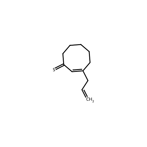 C=CC/C1=C/C(=S)CCCCC1